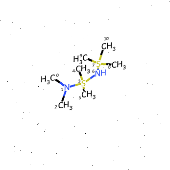 CN(C)S(C)(C)NS(C)(C)C